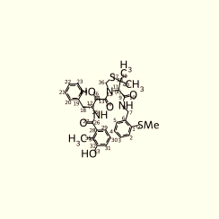 CSc1ccccc1CNC(=O)[C@H]1N(C(=O)[C@@H](O)[C@H](Cc2ccccc2)NC(=O)c2cccc(O)c2C)CSC1(C)C